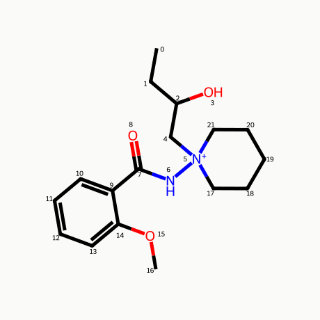 CCC(O)C[N+]1(NC(=O)c2ccccc2OC)CCCCC1